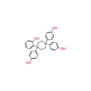 Oc1ccc(C2(c3ccc(O)cc3)CCC(c3ccc(O)cc3)(c3ccccc3O)CC2)cc1